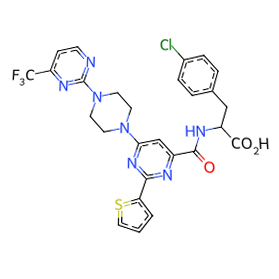 O=C(NC(Cc1ccc(Cl)cc1)C(=O)O)c1cc(N2CCN(c3nccc(C(F)(F)F)n3)CC2)nc(-c2cccs2)n1